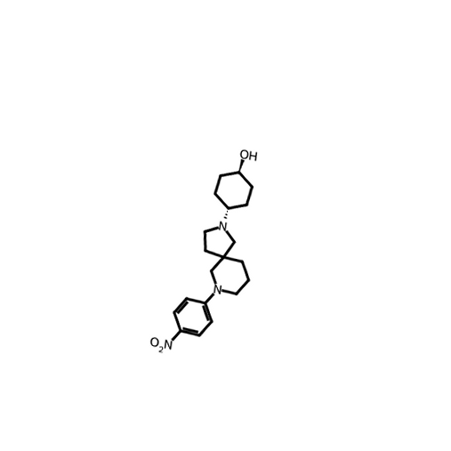 O=[N+]([O-])c1ccc(N2CCCC3(CCN([C@H]4CC[C@H](O)CC4)C3)C2)cc1